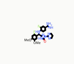 COc1cc(F)c(C(Nc2ccc(C(=N)N)cc2F)c2nn(-c3ncccn3)c(=O)[nH]2)cc1OC